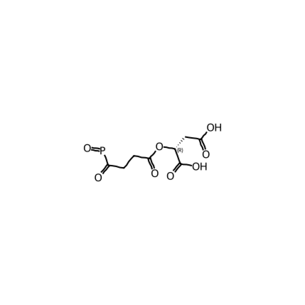 O=PC(=O)CCC(=O)O[C@H](CC(=O)O)C(=O)O